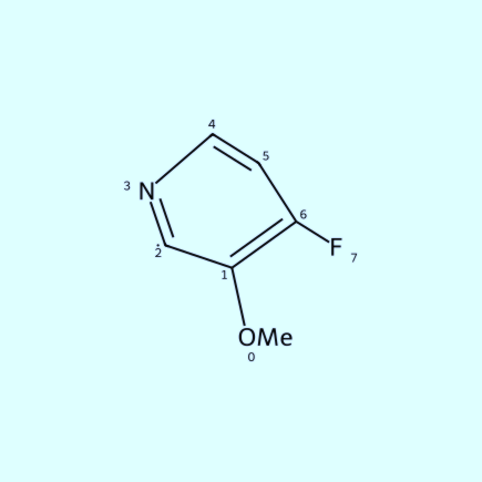 COc1[c]nccc1F